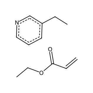 C=CC(=O)OCC.CCc1cccnc1